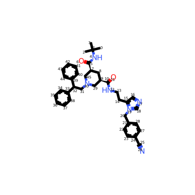 CC(C)(C)NC(=O)[C@H]1C[C@@H](C(=O)NCCc2cncn2Cc2ccc(C#N)cc2)CN(CC(c2ccccc2)c2ccccc2)C1